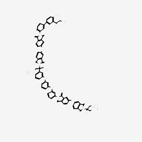 CCC(C)c1cc(-c2ccc(O)c(N3C(=O)c4ccc(Oc5ccc6c(c5)C(=O)N(C(CC)(CC)c5cccc(Oc7cccc(Oc8cccc(N9C(=O)c%10ccc(Oc%11ccc%12c(c%11)C(=O)N(C(C)(CC)CC)C%12=O)cc%10C9=O)c8)c7)c5)C6=O)cc4C3=O)c2)ccc1O